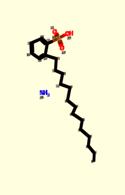 CCCCCCCCCCCCCCc1ccccc1S(=O)(=O)O.N